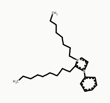 CCCCCCCCCc1n(-c2ccccc2)cc[n+]1CCCCCCCC